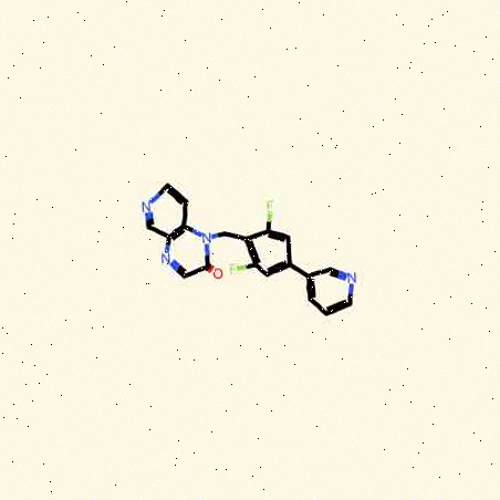 O=c1cnc2cnccc2n1Cc1c(F)cc(-c2cccnc2)cc1F